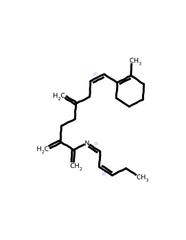 C=C(C/C=C\C1=C(C)CCCC1)CCC(=C)C(=C)/N=C\C=C/CC